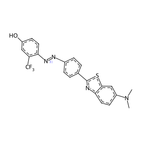 CN(C)c1ccc2nc(-c3ccc(/N=N/c4ccc(O)cc4C(F)(F)F)cc3)sc2c1